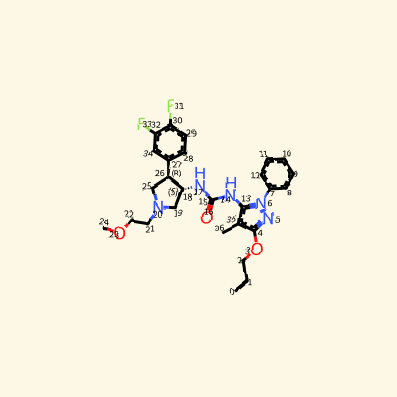 CCCOc1nn(-c2ccccc2)c(NC(=O)N[C@@H]2CN(CCOC)C[C@H]2c2ccc(F)c(F)c2)c1C